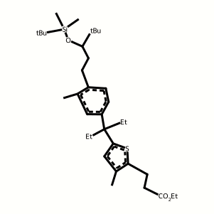 CCOC(=O)CCc1sc(C(CC)(CC)c2ccc(CCC(O[Si](C)(C)C(C)(C)C)C(C)(C)C)c(C)c2)cc1C